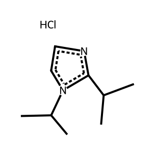 CC(C)c1nccn1C(C)C.Cl